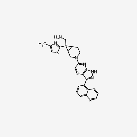 Cc1csc(C2(CN)C3CCN(c4cnc5c(-c6cccc7ncccc67)n[nH]c5n4)CC32)n1